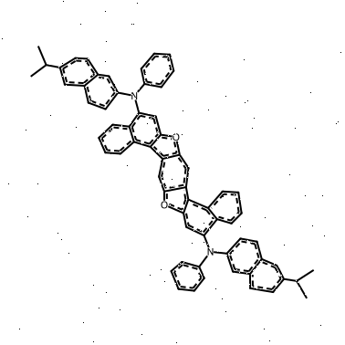 CC(C)c1ccc2cc(N(c3ccccc3)c3cc4oc5cc6c(cc5c4c4ccccc34)oc3cc(N(c4ccccc4)c4ccc5cc(C(C)C)ccc5c4)c4ccccc4c36)ccc2c1